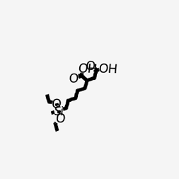 CCO[Si](C)(CCCCCC(CC(=O)O)C(=O)O)OCC